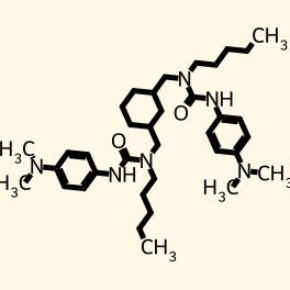 CCCCCN(CC1CCCC(CN(CCCCC)C(=O)Nc2ccc(N(C)C)cc2)C1)C(=O)Nc1ccc(N(C)C)cc1